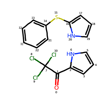 O=C(c1ccc[nH]1)C(Cl)(Cl)Cl.c1ccc(Sc2ccc[nH]2)cc1